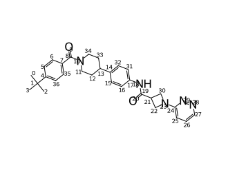 CC(C)(C)c1ccc(C(=O)N2CCC(c3ccc(NC(=O)C4CN(c5cccnn5)C4)cc3)CC2)cc1